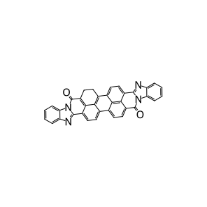 O=c1c2c3c(ccc4c5ccc6c(=O)n7c8ccccc8nc7c7ccc(c(c43)CC2)c5c67)c2nc3ccccc3n12